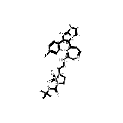 CC(C)(C)OC(=O)N1CCN(CCNC2=NC(c3c(-c4ccc(F)cc4)nc4sccn34)=CC=NC2)S1(=O)=O